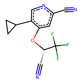 N#Cc1cc(O[C@@H](C#N)C(F)(F)F)c(C2CC2)cn1